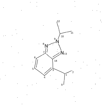 CC(C)c1cccc2nn(C(C)C)nc12